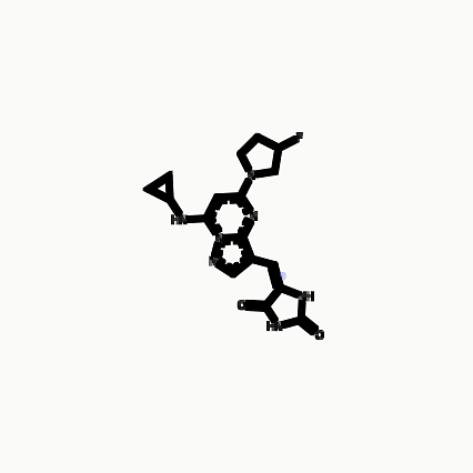 O=C1NC(=O)/C(=C\c2cnn3c(NC4CC4)cc(N4CCC(F)C4)nc23)N1